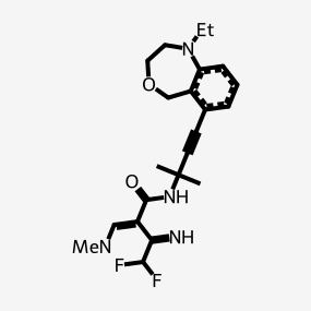 CCN1CCOCc2c(C#CC(C)(C)NC(=O)/C(=C/NC)C(=N)C(F)F)cccc21